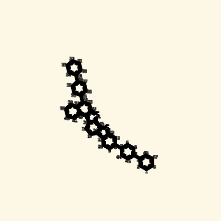 c1ccc(-c2ccc(-c3ccc4c(c3)sc3c4ccc4c3sc3cc(-c5ccc(-c6ccccc6)cc5)c5ccccc5c34)cc2)cc1